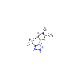 Cc1cc(-n2nnnc2CCl)c(C)cc1C#N